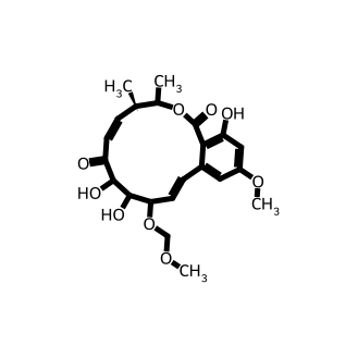 COCOC1/C=C/c2cc(OC)cc(O)c2C(=O)OC(C)[C@H](C)/C=C\C(=O)C(O)C1O